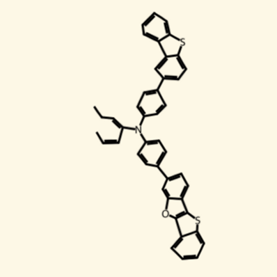 C/C=C\C(=C/CC)N(c1ccc(-c2ccc3c(c2)oc2c4ccccc4sc32)cc1)c1ccc(-c2ccc3sc4ccccc4c3c2)cc1